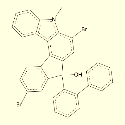 Cn1c2ccccc2c2c3c(cc(Br)c21)C(O)(c1ccccc1-c1ccccc1)c1cc(Br)ccc1-3